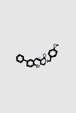 COc1ccc(CN2CC/C(=C\c3cc(-c4ccccc4)ccc3Br)C2=O)cc1